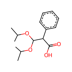 CC(C)OC(OC(C)C)C(C(=O)O)c1ccccc1